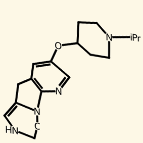 CC(C)N1CCC(Oc2cnc3c(c2)CC2=CNCCN23)CC1